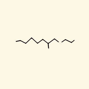 CCCCCCC(O)CNCCO